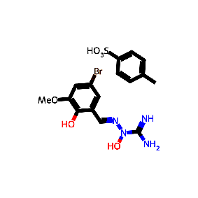 COc1cc(Br)cc(/C=N/N(O)C(=N)N)c1O.Cc1ccc(S(=O)(=O)O)cc1